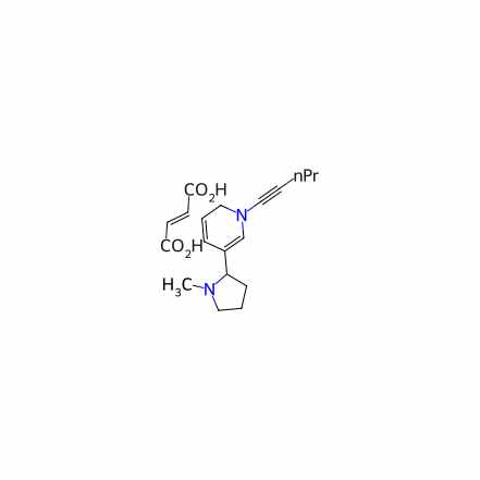 CCCC#CN1C=C(C2CCCN2C)C=CC1.O=C(O)/C=C/C(=O)O